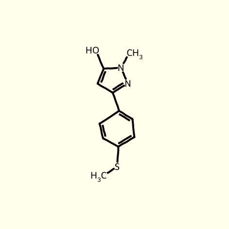 CSc1ccc(-c2cc(O)n(C)n2)cc1